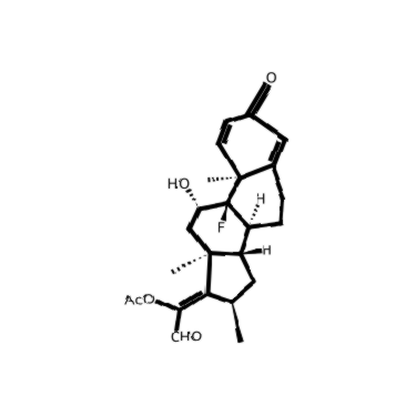 CC(=O)OC(C=O)=C1[C@H](C)C[C@H]2[C@@H]3CCC4=CC(=O)C=C[C@]4(C)[C@@]3(F)[C@@H](O)C[C@]12C